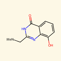 CNCc1nc2c(O)cccc2c(=O)[nH]1